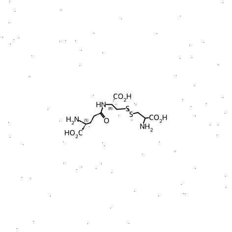 NC(CSSC[C@H](NC(=O)CC[C@H](N)C(=O)O)C(=O)O)C(=O)O